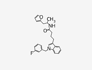 CC(Cc1ccco1)NC(=O)CCCc1cn(Cc2cccc(F)c2)c2ccccc12